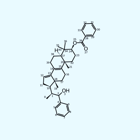 C[C@H](C(O)c1ccccc1)[C@H]1CC=C2C3=C(CC[C@@]21C)[C@@]1(C)CC[C@H](OC(=O)c2ccccc2)C(C)(C)[C@@H]1CC3